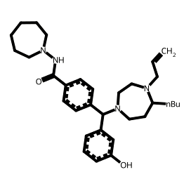 C=CCN1CCN(C(c2ccc(C(=O)NN3CCCCCC3)cc2)c2cccc(O)c2)CCC1CCCC